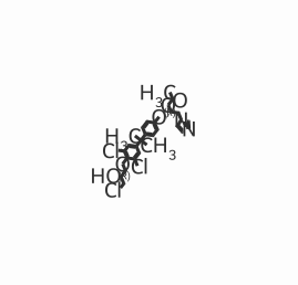 CC(=O)O[C@@H](COc1ccc(C(C)(C)c2cc(Cl)c(OC[C@@H](O)CCl)c(Cl)c2)cc1)Cn1ccnc1